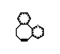 C1#Cc2cccnc2-c2ccccc2CC1